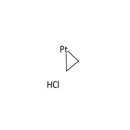 Cl.[CH2]1[CH2][Pt]1